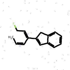 C/C=C\C(=C/CF)C1=Cc2ccccc2C1